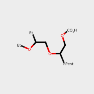 CCCCCC(COC(=O)O)OCC(CC)OCC